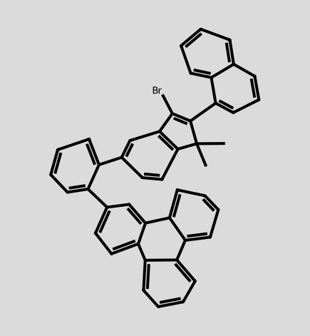 CC1(C)C(c2cccc3ccccc23)=C(Br)c2cc(-c3ccccc3-c3ccc4c5ccccc5c5ccccc5c4c3)ccc21